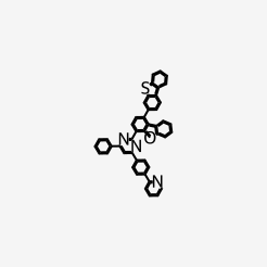 c1ccc(-c2cc(-c3ccc(-c4ccccn4)cc3)nc(-c3ccc(-c4ccc5c(c4)sc4ccccc45)c4c3oc3ccccc34)n2)cc1